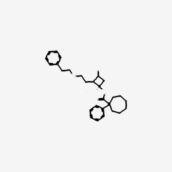 CC1C[C@](C)(OC(=O)C2(c3ccccc3)CCCCCC2)C1CCNCCc1ccccc1